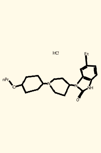 CCCOC1CCC(N2CCC(n3c(=O)[nH]c4ccc(CC)cc43)CC2)CC1.Cl